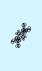 C=C(C)C(=O)Oc1ccc(N(C(=O)C(c2ccco2)N2C(=O)c3cc(Oc4ccccc4)c4c5c(Oc6ccccc6)cc6c7c(cc(Oc8ccccc8)c(c8c(Oc9ccccc9)cc(c3c48)C2=O)c75)C(=O)N(C(C(=O)N(c2ccc(OC(=O)C(=C)C)cc2)c2ccc(OC(=O)C(C)C)cc2)c2ccco2)C6=O)c2ccc(OC(=O)C(=C)C)cc2)cc1